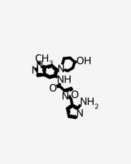 Cn1ncc2cc(NC(=O)c3coc(-c4cccnc4N)n3)c(N3CCC(O)CC3)cc21